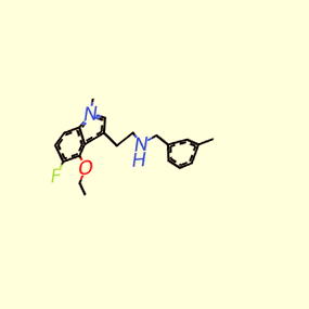 CCOc1c(F)ccc2c1c(CCNCc1cccc(C)c1)cn2C